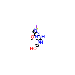 CCOc1nc(Nc2cnn(C3CC(O)C3)c2C)nc2c1ccn2SI